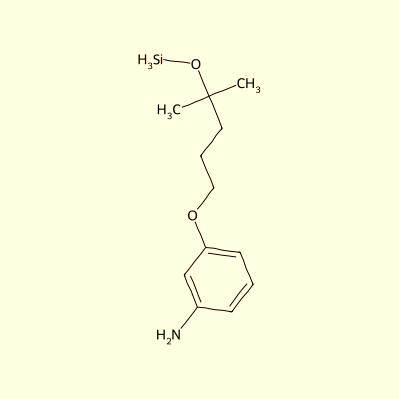 CC(C)(CCCOc1cccc(N)c1)O[SiH3]